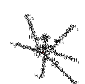 C=C(CCC(CC(=O)N(CCOCCOCCOCCOC)CC(=O)NCCCC(=O)NCCOCCOCCOCCOC)(CC(=O)N(CCOCCOCCOCCOC)CC(=O)NCCCC(=O)NCCOCCOCCOCCOC)NC(=O)CCC(=O)ON1C(=O)CCC1=O)N(CCOCCOCCOCCOC)CC(=O)NCCCC(=O)NCCOCCOCCOCCOC